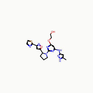 Cc1cc(Nc2cc(OCCO)nc(N3CCCC3c3cc(-c4nccs4)no3)n2)n[nH]1